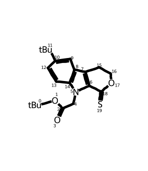 CC(C)(C)OC(=O)Cn1c2c(c3cc(C(C)(C)C)ccc31)CCOC2=S